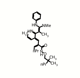 C\C=C/C(=C\C(=C\CCC)C(=O)NOCC(C)(C)CCC)C(=N)/C(C)=C(/NC)Nc1ccccc1